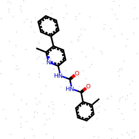 Cc1ccccc1C(=O)NC(=O)Nc1ccc(-c2ccccc2)c(C)n1